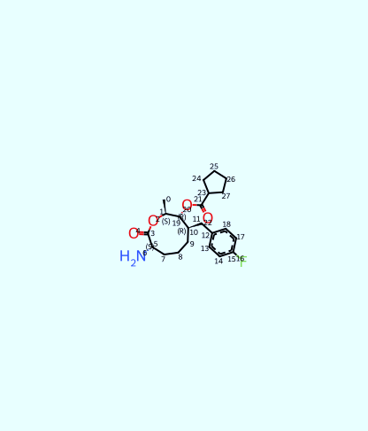 C[C@@H]1OC(=O)[C@@H](N)CCC[C@H](Cc2ccc(F)cc2)[C@H]1OC(=O)C1CCCC1